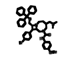 COc1ccc(NC(=O)N2CC(CN(C)C)CCN3C(C2)C(c2ccc(Br)cc2)[C@H]3COC(c2ccccc2)(c2ccccc2)c2ccccc2)cc1